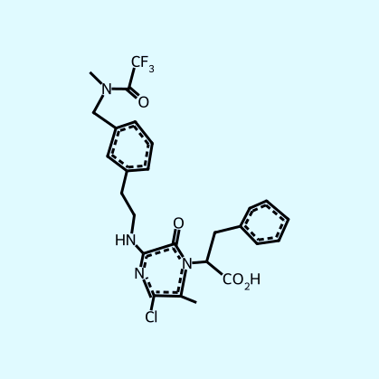 Cc1c(Cl)nc(NCCc2cccc(CN(C)C(=O)C(F)(F)F)c2)c(=O)n1C(Cc1ccccc1)C(=O)O